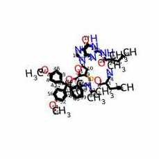 C#CCC(C#N)COP(C1C[C@H](n2cnc3c(=O)[nH]c(NC(=O)C(C)(C)CC#C)nc32)O[C@@H]1COC(c1ccccc1)(c1ccc(OC)cc1)c1ccc(OC)cc1)N(C(C)C)C(C)C